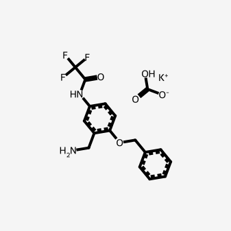 NCc1cc(NC(=O)C(F)(F)F)ccc1OCc1ccccc1.O=C([O-])O.[K+]